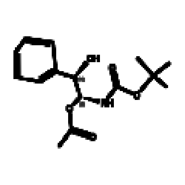 CC(=O)O[C@@H](NC(=O)OC(C)(C)C)[C@H](O)c1ccccc1